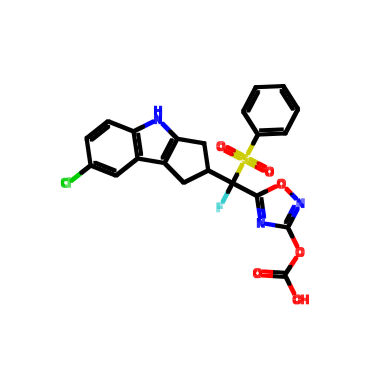 O=C(O)Oc1noc(C(F)(C2Cc3[nH]c4ccc(Cl)cc4c3C2)S(=O)(=O)c2ccccc2)n1